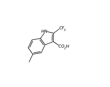 Cc1ccc2[nH]c(C(F)(F)F)c(C(=O)O)c2c1